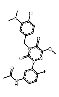 COc1nn(-c2cc(NC(C)=O)ccc2F)c(=O)n(Cc2ccc(Cl)c(N(C)C)c2)c1=O